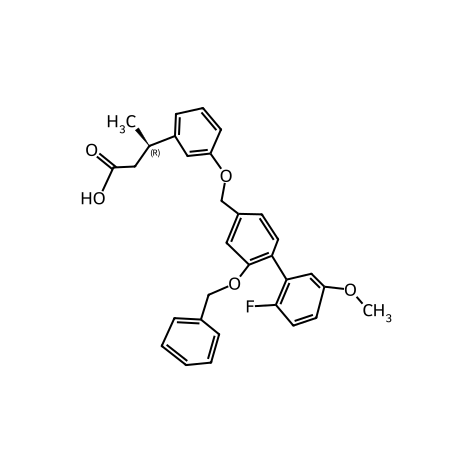 COc1ccc(F)c(-c2ccc(COc3cccc([C@H](C)CC(=O)O)c3)cc2OCc2ccccc2)c1